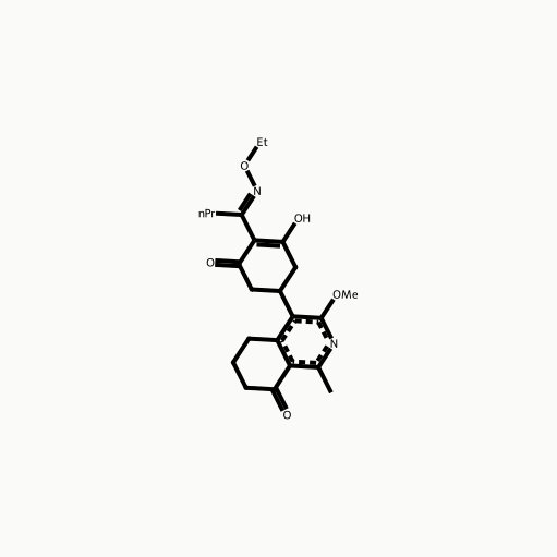 CCC/C(=N\OCC)C1=C(O)CC(c2c(OC)nc(C)c3c2CCCC3=O)CC1=O